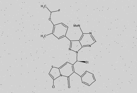 CC[C@@H](c1cc2scc(Cl)n2c(=O)c1-c1ccccc1)n1nc(-c2ccc(OC(C)F)c(C)c2)c2c(NC)ncnc21